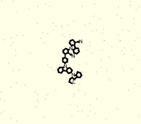 N#Cc1c(-c2ccc(-n3c4ccccc4c4cc(-n5c6ccccc6c6ccccc65)ccc43)cc2)cccc1-n1c2ccccc2c2c(C#N)cccc21